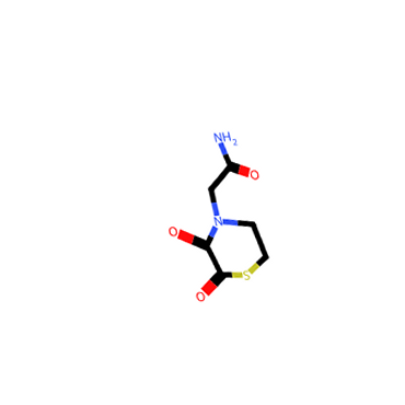 NC(=O)CN1CCSC(=O)C1=O